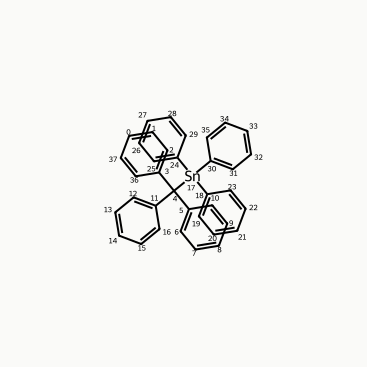 c1ccc([C](c2ccccc2)(c2ccccc2)[Sn]([c]2ccccc2)([c]2ccccc2)[c]2ccccc2)cc1